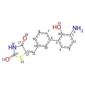 Nc1cccc(-c2cccc(/C=C3/SC(=O)NC3=O)c2)c1O